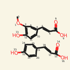 COc1cc(/C=C/C(=O)O)ccc1O.O=C(O)C=Cc1ccc(O)cc1